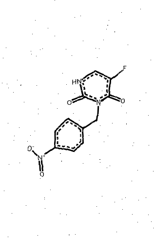 O=c1[nH]cc(F)c(=O)n1Cc1ccc([N+](=O)[O-])cc1